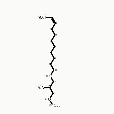 CCCCCCCC/C=C\CCCCCCCCOCC(N)COCCCCCCCC